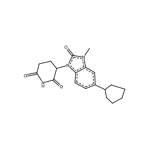 Cn1c(=O)n(C2CCC(=O)NC2=O)c2ccc(C3[CH]CCCC3)cc21